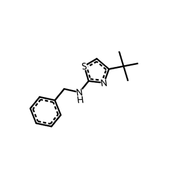 CC(C)(C)c1csc(NCc2ccccc2)n1